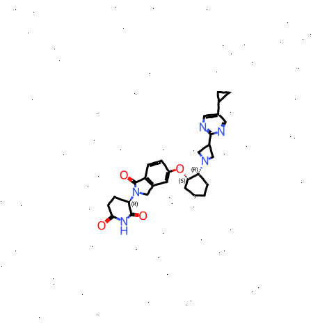 O=C1CC[C@@H](N2Cc3cc(O[C@H]4CCCC[C@H]4N4CC(c5ncc(C6CC6)cn5)C4)ccc3C2=O)C(=O)N1